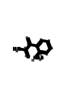 C=C(C(N)=O)c1ccccc1S(=O)(=O)O